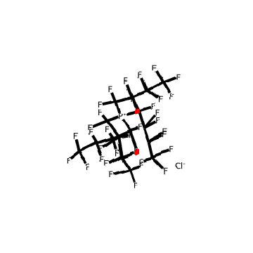 FC(F)(F)C(F)(F)C(F)(F)C(F)(F)[P+](C(F)(F)C(F)(F)C(F)(F)C(F)(F)F)(C(F)(F)C(F)(F)C(F)(F)C(F)(F)F)C(F)(F)C(F)(F)C(F)(F)C(F)(F)F.[Cl-]